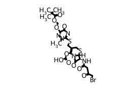 Cn1nc(OCOC(=O)C(C)(C)C)c(=O)nc1SCC1=C(OC(=O)O)N2C(=O)[C@@H](NC(=O)CC(=O)CBr)[C@H]2SC1